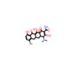 CC(=O)c1ccc(O)c2c1CC1CC3C(N(C)C)C(O)=C(C(N)=O)C(=O)C3(O)C(O)=C1C2=O